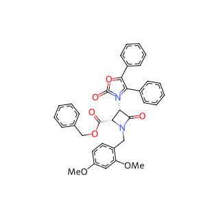 COc1ccc(CN2C(=O)[C@@H](n3c(-c4ccccc4)c(-c4ccccc4)oc3=O)[C@H]2C(=O)OCc2ccccc2)c(OC)c1